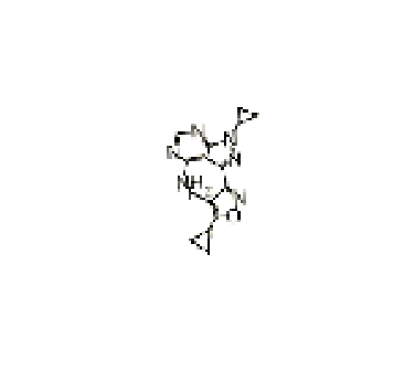 Nc1ncnc2c1c(-c1noc(C3CC3)c1I)nn2C1CC1